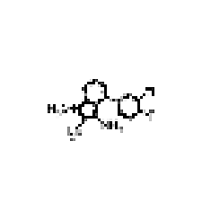 Cn1c(N)c(N)c2c(-c3ccc(F)c(Cl)c3)cccc21